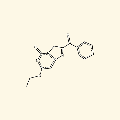 CCOc1cc2n(c(=O)n1)CC(C(=O)c1ccccc1)=N2